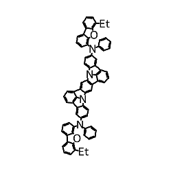 CCc1cccc2c1oc1c(N(c3ccccc3)c3ccc4c(c3)c3cccc5c6cc7c(cc6n4c35)c3cccc4c5cc(N(c6ccccc6)c6cccc8c6oc6c(CC)cccc68)ccc5n7c43)cccc12